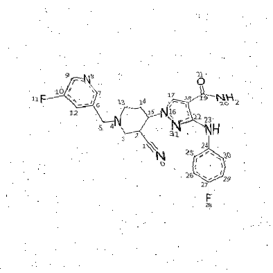 N#CC1CN(Cc2cncc(F)c2)CCC1n1cc(C(N)=O)c(Nc2ccc(F)cc2)n1